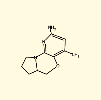 Cc1cc(N)nc2c1OCC1CCCN21